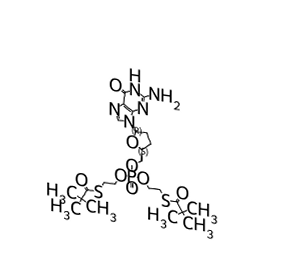 CC(C)(C)C(=O)SCCOP(=O)(OCCSC(=O)C(C)(C)C)OC[C@@H]1CC[C@H](n2cnc3c(=O)[nH]c(N)nc32)O1